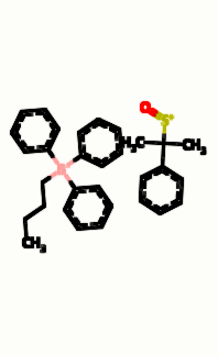 CC(C)([S+]=O)c1ccccc1.CCCC[B-](c1ccccc1)(c1ccccc1)c1ccccc1